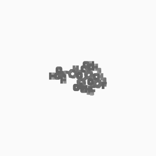 Cc1cc(F)cc(C)c1Oc1ccc(C(C)(C)O)cc1-c1cn(C)c(=O)cc1OC1CCC(CNC(=O)O)CC1